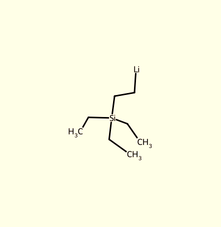 [Li][CH2]C[Si](CC)(CC)CC